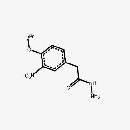 CCCOc1ccc(CC(=O)NN)cc1[N+](=O)[O-]